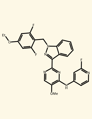 [CH2]COc1cc(F)c(Cn2nc(-c3ncc(OC)c(Nc4ccnc(F)c4)n3)c3ccccc32)c(F)c1